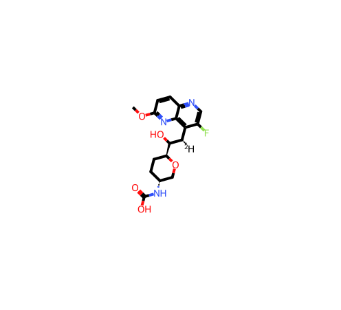 [2H][C@@H](c1c(F)cnc2ccc(OC)nc12)C(O)[C@@H]1CC[C@@H](NC(=O)O)CO1